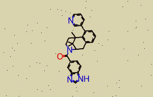 CC12CCN(C(=O)c3ccc4[nH]cnc4c3)C(Cc3cccc(-c4cccnc4)c31)C2(C)C